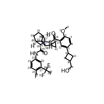 COc1ccc(C2CC(CO)C2)cc1C(=O)N[C@H]1[C@@H](C(=O)Nc2ccc(F)c(C(F)(F)F)c2)[C@H]2CC[C@@H]1/C2=C\C1CC1